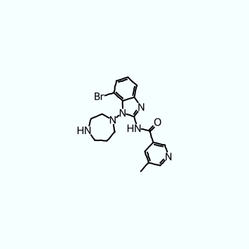 Cc1cncc(C(=O)Nc2nc3cccc(Br)c3n2N2CCCNCC2)c1